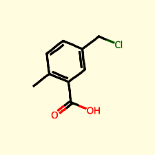 Cc1ccc(CCl)cc1C(=O)O